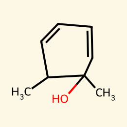 CC1C=CC=CC1(C)O